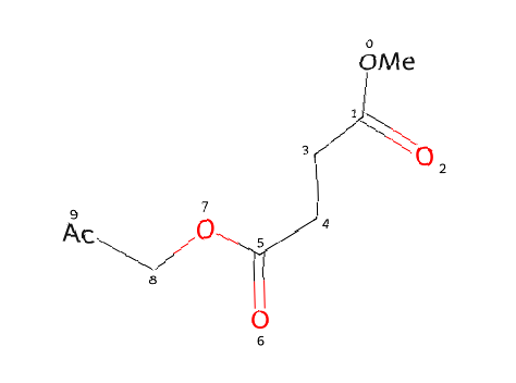 COC(=O)CCC(=O)OCC(C)=O